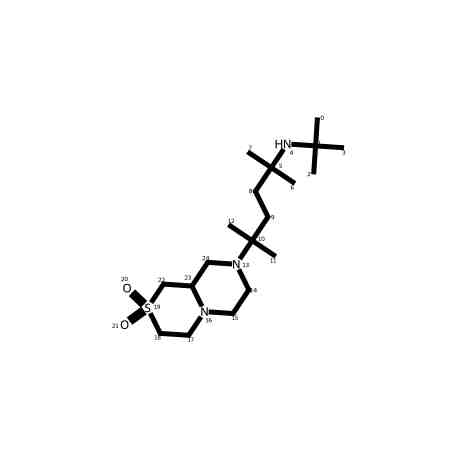 CC(C)(C)NC(C)(C)CCC(C)(C)N1CCN2CCS(=O)(=O)CC2C1